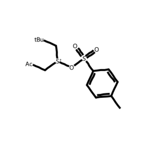 CC(=O)C[S+](CC(C)(C)C)OS(=O)(=O)c1ccc(C)cc1